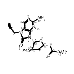 C#CCn1c(=O)n([C@@H]2O[C@H](CC(=O)OC)C[C@H]2OC(C)=O)c2nc(N)ncc21